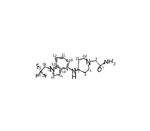 NC(=O)CN1CCC(Nc2cccc3c2ccn3CC(F)(F)F)CC1